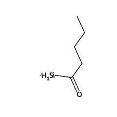 CCCCC(=O)[SiH2]